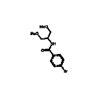 COCC(COC)NC(=O)c1ccc(Br)cc1